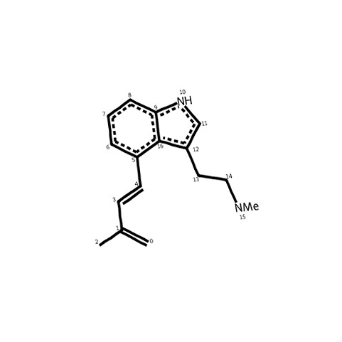 C=C(C)/C=C/c1cccc2[nH]cc(CCNC)c12